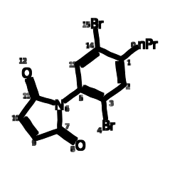 CCCc1cc(Br)c(N2C(=O)C=CC2=O)cc1Br